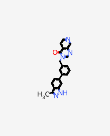 Cc1n[nH]c2cc(-c3cccc(Cn4cnc5cnccc5c4=O)c3)ccc12